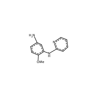 COc1ccc(N)cc1Nc1ccccn1